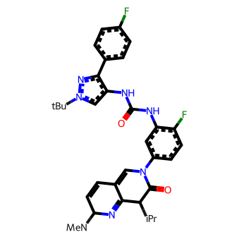 CNC1C=CC2=CN(c3ccc(F)c(NC(=O)Nc4cn(C(C)(C)C)nc4-c4ccc(F)cc4)c3)C(=O)C(C(C)C)C2=N1